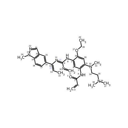 C=CC(=O)Nc1cc(N/C(N=C)=N/C(=C\C)c2ccc3c(cnn3C)c2)c(OCC)cc1N(C)CCN(C)C